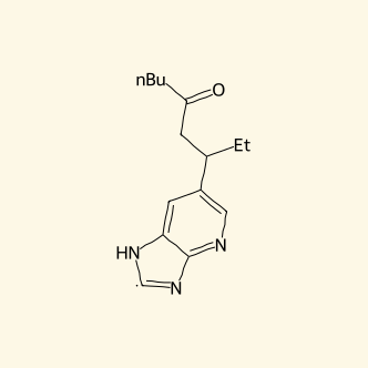 CCCCC(=O)CC(CC)c1cnc2n[c][nH]c2c1